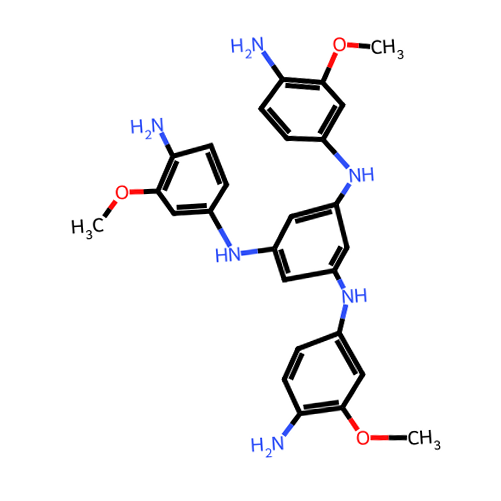 COc1cc(Nc2cc(Nc3ccc(N)c(OC)c3)cc(Nc3ccc(N)c(OC)c3)c2)ccc1N